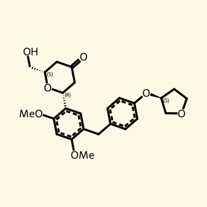 COc1cc(OC)c([C@H]2CC(=O)C[C@@H](CO)O2)cc1Cc1ccc(O[C@H]2CCOC2)cc1